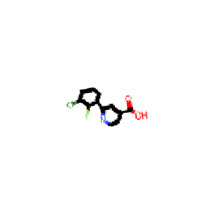 O=C(O)c1ccnc(-c2cccc(Cl)c2F)c1